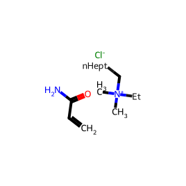 C=CC(N)=O.CCCCCCCC[N+](C)(C)CC.[Cl-]